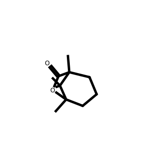 CC12CCCC(C)(C(=O)O1)C2(C)C